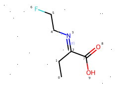 CC/C(=N\CCF)C(=O)O